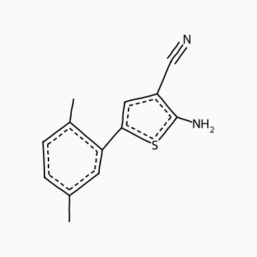 Cc1ccc(C)c(-c2cc(C#N)c(N)s2)c1